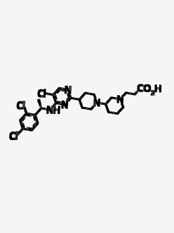 C[C@@H](Nc1nc(C2CCN(C3CCCN(CCC(=O)O)C3)CC2)ncc1Cl)c1ccc(Cl)cc1Cl